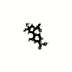 CC(=O)N1CC(F)(F)CC1c1ccc([N+](=O)[O-])cc1F